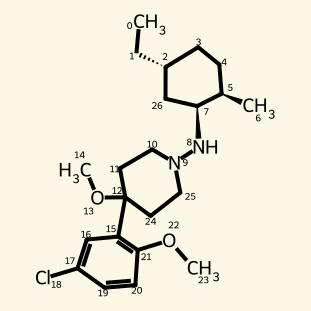 CC[C@@H]1CC[C@@H](C)[C@@H](NN2CCC(OC)(c3cc(Cl)ccc3OC)CC2)C1